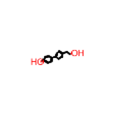 OCCc1ccc(-c2ccc(O)cc2)cc1